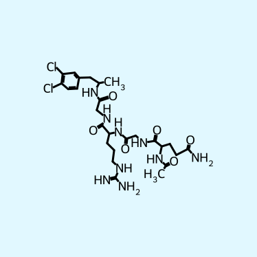 CC(=O)NC(CCC(N)=O)C(=O)NCC(=O)NC(CCCNC(=N)N)C(=O)NCC(=O)NC(C)Cc1ccc(Cl)c(Cl)c1